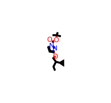 CCC(COc1ccn(C(=O)OC(C)(C)C)n1)C1CC1